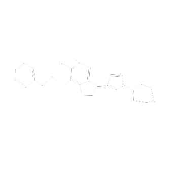 Nc1ncc2c(-c3cnn(C4CCNCC4)c3)coc2c1OCCc1ccccc1